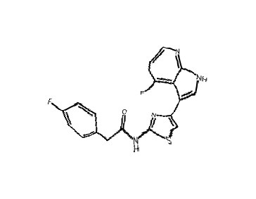 O=C(Cc1ccc(F)cc1)Nc1nc(-c2c[nH]c3nccc(F)c23)cs1